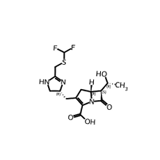 C[C@@H](O)[C@H]1C(=O)N2C(C(=O)O)=C(C[C@@H]3CNC(CSC(F)F)=N3)C[C@H]12